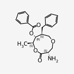 C[C@@H]1OC(=O)[C@@H](N)COC[C@H](Cc2ccccc2)[C@H]1OC(=O)c1ccccc1